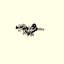 CCCC(NC(=O)[C@@H]1CC(OC(=O)N2CCc3ccccc3C2)CN1C(=O)C(NC(=O)[C@@H](NC(=O)CCCCC(=O)NC)C(C)C)C(C)C)C(O)C(=O)NC1CC1